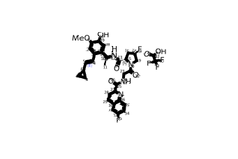 COc1cc(/C=C/C2CC2)c([C@H](C)NC(=O)[C@@H]2C[C@@H](F)CN2C(=O)CNC(=O)c2ccc3cc(F)ccc3n2)cc1O.O=C(O)C(F)(F)F